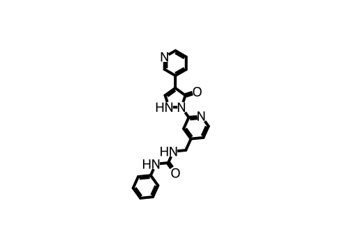 O=C(NCc1ccnc(-n2[nH]cc(-c3cccnc3)c2=O)c1)Nc1ccccc1